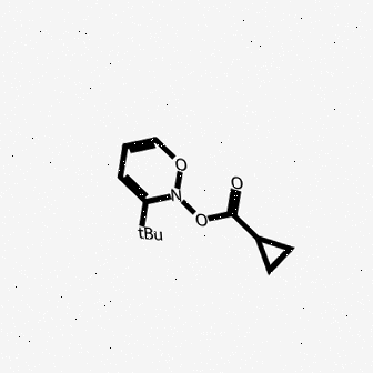 CC(C)(C)C1=CC=CON1OC(=O)C1CC1